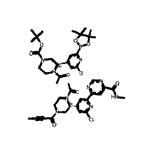 CC#CC(=O)N1CCN(C(C)=O)[C@H](c2cc(Cl)nc(-c3cc(C(=O)NC)ncn3)c2)C1.CC(=O)N1CCN(C(=O)OC(C)(C)C)C[C@H]1c1cc(Cl)nc(B2OC(C)(C)C(C)(C)O2)c1